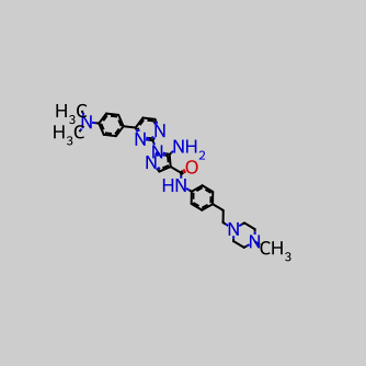 CN1CCN(CCc2ccc(NC(=O)c3cnn(-c4nccc(-c5ccc(N(C)C)cc5)n4)c3N)cc2)CC1